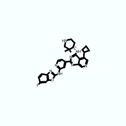 CC1(C)CNCC[C@@H]1Nc1nc(-c2ccnc(Nc3nc4ccc(F)cc4o3)c2)nc2cncc(C3CCC3)c12